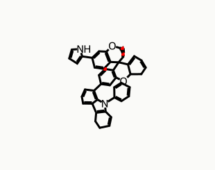 C1=CCC2Oc3cc(-c4cccc5c6c(n(-c7ccccc7)c45)C=CCC6)ccc3C3(C2=C1)c1ccccc1Oc1cc(-c2ccc[nH]2)ccc13